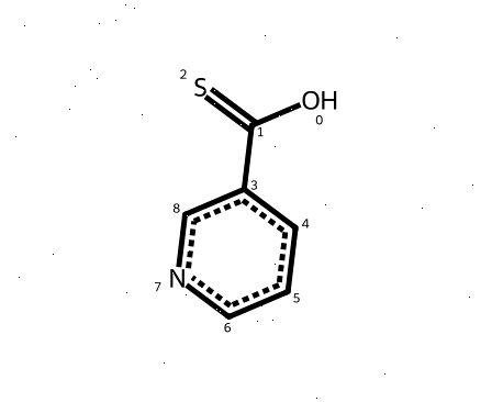 OC(=S)c1cccnc1